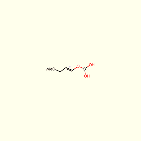 COC/C=C/OB(O)O